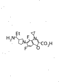 CCC(N)C1CCN(c2c(F)cc3c(=O)c(C(=O)O)cn(C4CC4)c3c2F)C1